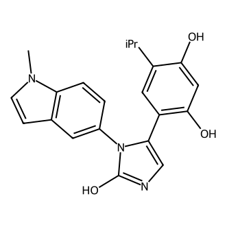 CC(C)c1cc(-c2cnc(O)n2-c2ccc3c(ccn3C)c2)c(O)cc1O